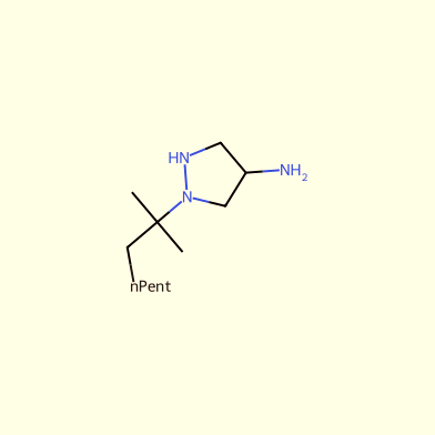 CCCCCCC(C)(C)N1CC(N)CN1